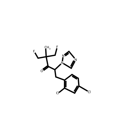 CC(CF)(CF)C(=O)C(Cc1ccc(Cl)cc1Cl)n1cncn1